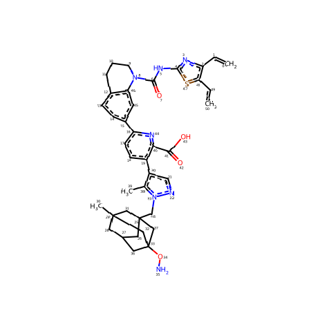 C=Cc1nc(NC(=O)N2CCCc3ccc(-c4ccc(-c5cnn(CC67CC8CC(C)(C6)CC(ON)(C8)C7)c5C)c(C(=O)O)n4)cc32)sc1C=C